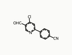 N#Cc1ccc(-c2cc(Cl)c(C=O)cn2)cc1